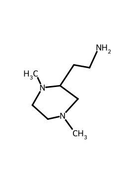 CN1CCN(C)C(CCN)C1